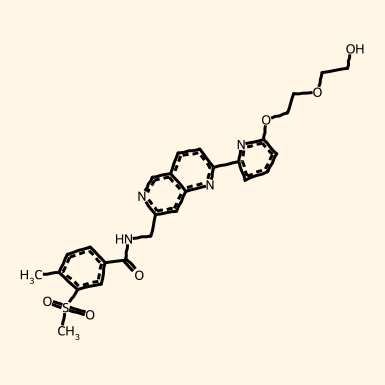 Cc1ccc(C(=O)NCc2cc3nc(-c4cccc(OCCOCCO)n4)ccc3cn2)cc1S(C)(=O)=O